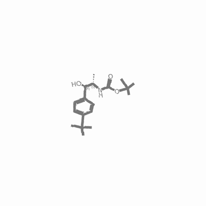 C[C@H](NC(=O)OC(C)(C)C)[C@H](O)c1ccc(C(C)(C)C)cc1